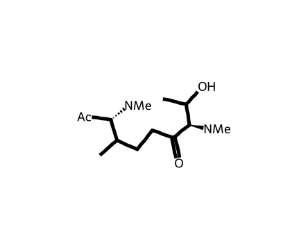 CN[C@@H](C(=O)CCC(C)[C@@H](NC)C(C)=O)C(C)O